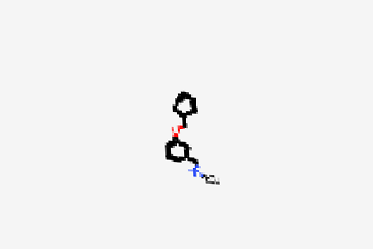 CC(C)(C)NCc1cccc(OCC2C=CC=CC2)c1